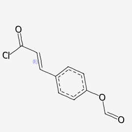 O=COc1ccc(/C=C/C(=O)Cl)cc1